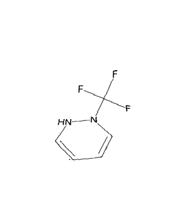 FC(F)(F)N1C=C[C]=CN1